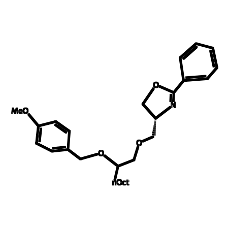 CCCCCCCCC(COC[C@@H]1COC(c2ccccc2)=N1)OCc1ccc(OC)cc1